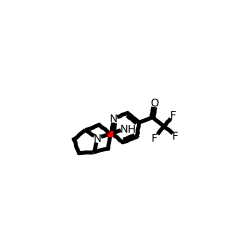 NC1CC2CCC(C1)N2c1ccc(C(=O)C(F)(F)F)cn1